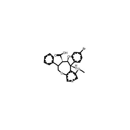 COc1cncc2c1[C@@](O)(c1ccc(Br)cc1)[C@H](O)[C@H](C(=O)O)C(c1ccccc1)CO2